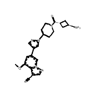 COc1cc(-c2cnn(C3CCN(C(=O)[C@H]4C[C@H](N)C4)CC3)c2)cn2ncc(C#N)c12